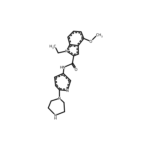 CCn1c(C(=O)Nc2ccc(N3CCNCC3)nc2)cc2c(OC)cccc21